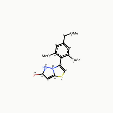 COCc1cc(OC)c(C2=CSC3=CC(Br)NN32)c(OC)c1